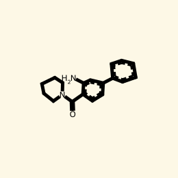 Nc1cc(-c2ccccc2)ccc1C(=O)N1CCCCC1